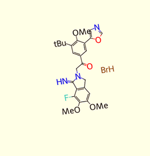 Br.COc1cc2c(c(F)c1OC)C(=N)N(CC(=O)c1cc(-c3cnco3)c(OC)c(C(C)(C)C)c1)C2